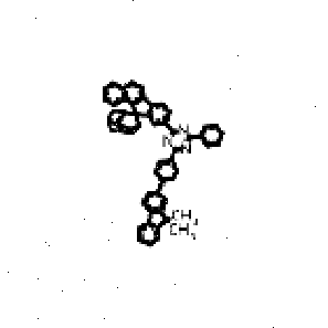 CC1(C)c2ccccc2-c2ccc(-c3ccc(-c4nc(-c5ccccc5)nc(-c5ccc6c(c5)C5(c7c-6ccc6ccccc76)C6CC7CC(C6)CC5C7)n4)cc3)cc21